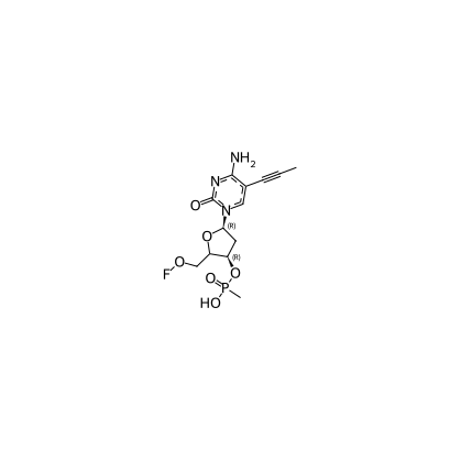 CC#Cc1cn([C@H]2C[C@@H](OP(C)(=O)O)C(COF)O2)c(=O)nc1N